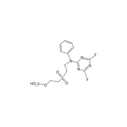 O=S(=O)(CCOS(=O)(=O)O)CCN(c1ccccc1)c1nc(F)nc(F)n1